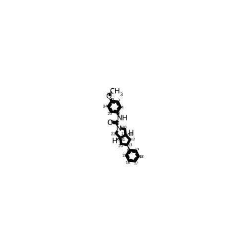 COc1ccc(NC(=O)N2C[C@H]3C[C@@H](c4ccccc4)C[C@H]3C2)cc1